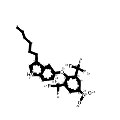 CCCCCCc1c[nH]c2ccc(Oc3c(C(F)(F)F)cc([N+](=O)[O-])cc3C(F)(F)F)cc12